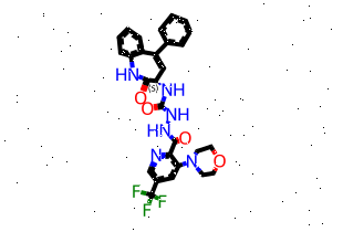 O=C(NNC(=O)c1ncc(C(F)(F)F)cc1N1CCOCC1)N[C@H]1C=C(c2ccccc2)c2ccccc2NC1=O